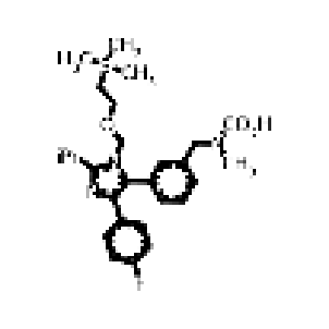 CC(C)c1nc(-c2ccc(F)cc2)c(-c2cccc(CN(C)C(=O)O)c2)n1COCC[Si](C)(C)C